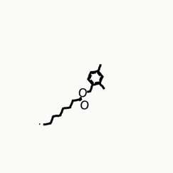 [CH2]CCCCCCC(=O)OCc1ccc(C)cc1C